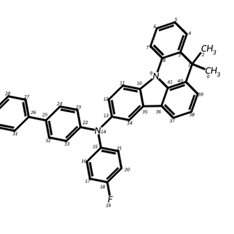 CC1(C)c2ccccc2-n2c3ccc(N(c4ccc(F)cc4)c4ccc(-c5ccccc5)cc4)cc3c3cccc1c32